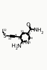 NC(=O)c1cnc(N)c(C#CSI)c1